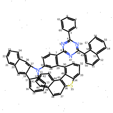 c1ccc(-c2nc(-c3ccc(-n4c5ccccc5c5cc6ccccc6cc54)cc3-c3cccc4sc5ccc6ccccc6c5c34)nc(-c3cccc4ccccc34)n2)cc1